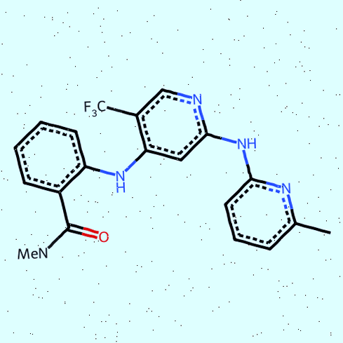 CNC(=O)c1ccccc1Nc1cc(Nc2cccc(C)n2)ncc1C(F)(F)F